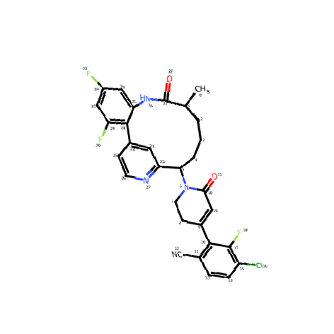 CC1CCCC(N2CCC(c3c(C#N)ccc(Cl)c3F)=CC2=O)c2cc(ccn2)-c2c(F)cc(F)cc2NC1=O